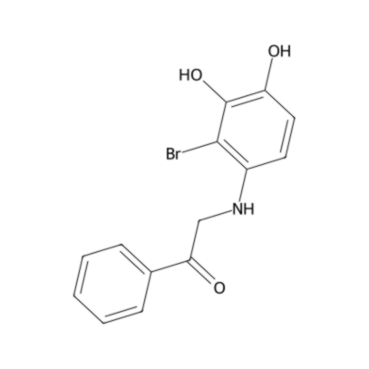 O=C(CNc1ccc(O)c(O)c1Br)c1ccccc1